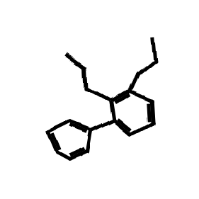 CCCc1cccc(-c2ccccc2)c1CCC